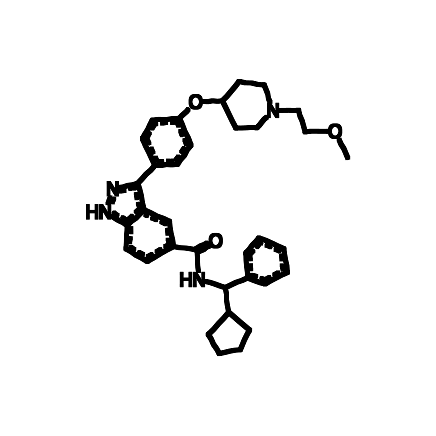 COCCN1CCC(Oc2ccc(-c3n[nH]c4ccc(C(=O)NC(c5ccccc5)C5CCCC5)cc34)cc2)CC1